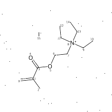 C=C(C)C(=O)OCC[N+](CC)(CC)CC.[I-]